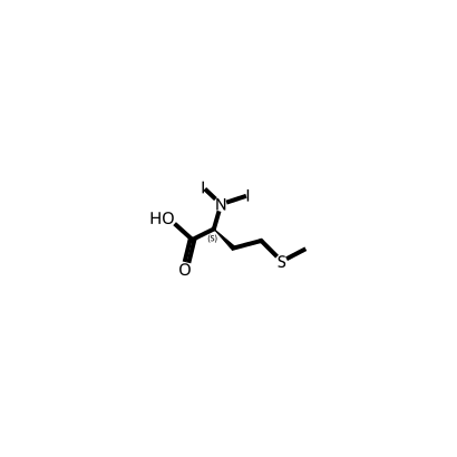 CSCC[C@@H](C(=O)O)N(I)I